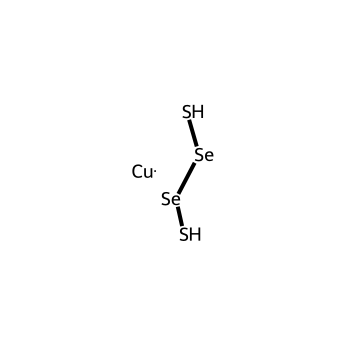 S[Se][Se]S.[Cu]